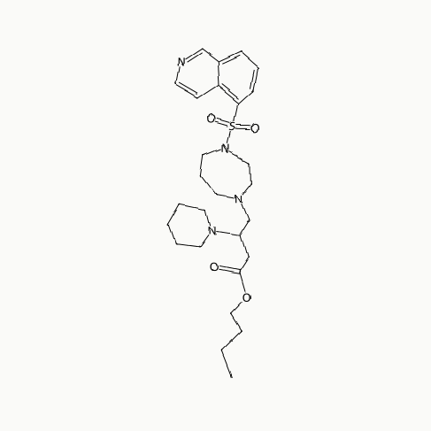 CCCCOC(=O)CC(CN1CCCN(S(=O)(=O)c2cccc3cnccc23)CC1)N1CCCCC1